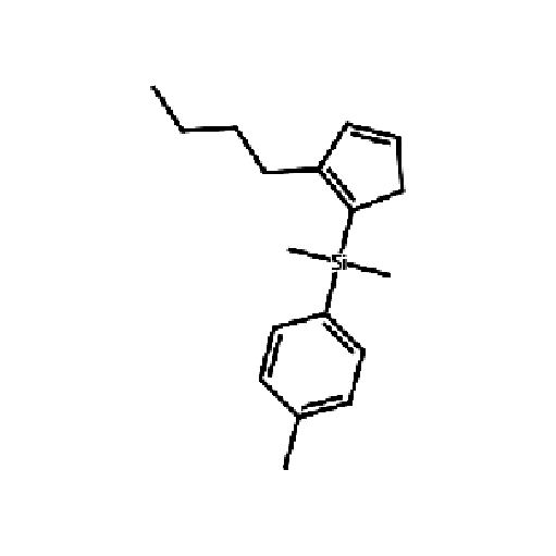 CCCCC1=C([Si](C)(C)c2ccc(C)cc2)CC=C1